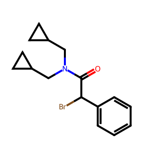 O=C(C(Br)c1ccccc1)N(CC1CC1)CC1CC1